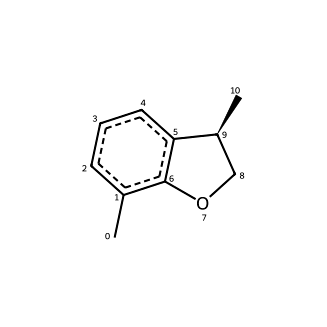 Cc1cccc2c1OC[C@@H]2C